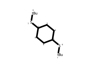 CC(C)(C)SC1[CH]CC(SC(C)(C)C)[CH]C1